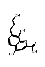 O=C(O)c1cc(O)c2ccc(CCCO)c(O)c2n1